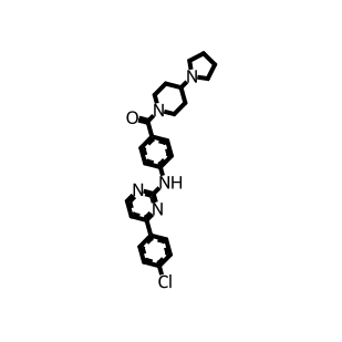 O=C(c1ccc(Nc2nccc(-c3ccc(Cl)cc3)n2)cc1)N1CCC(N2CCCC2)CC1